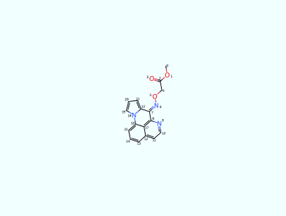 COC(=O)CO/N=c1/c2nccc3cccc(c32)n2cccc12